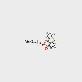 COCCOCCOC(=O)c1cccc2sc3ccccc3c(=O)c12